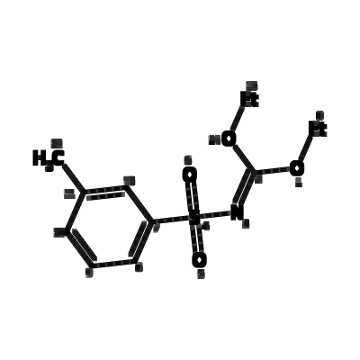 CCOC(=NS(=O)(=O)c1cccc(C)c1)OCC